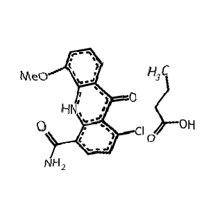 CCCC(=O)O.COc1cccc2c(=O)c3c(Cl)ccc(C(N)=O)c3[nH]c12